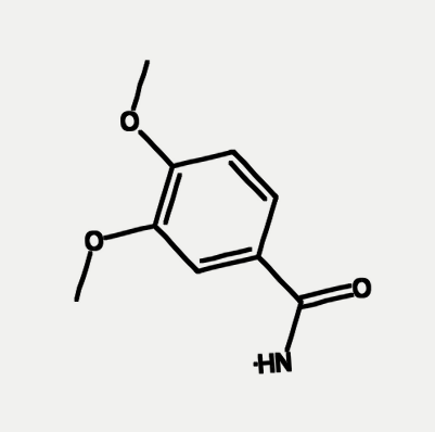 COc1ccc(C([NH])=O)cc1OC